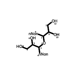 CCCCCCCCCC(OC(CCCCCCCCC)C(O)CO)C(O)CO